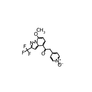 COc1ccc(C(=O)Cc2cc[n+]([O-])cc2)c2cc(C(F)(F)F)nn12